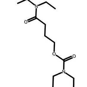 CCN(CC)C(=O)CCCOC(=O)N(CC)CC